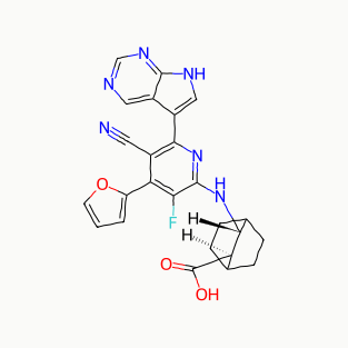 N#Cc1c(-c2c[nH]c3ncncc23)nc(N[C@@H]2C3CCC(CC3)[C@H]2C(=O)O)c(F)c1-c1ccco1